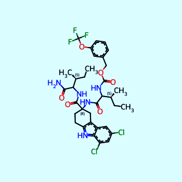 CC[C@H](C)C(NC(=O)[C@@]1(NC(=O)C(NC(=O)OCc2cccc(OC(F)(F)F)c2)[C@@H](C)CC)CCc2[nH]c3c(Cl)cc(Cl)cc3c2C1)C(N)=O